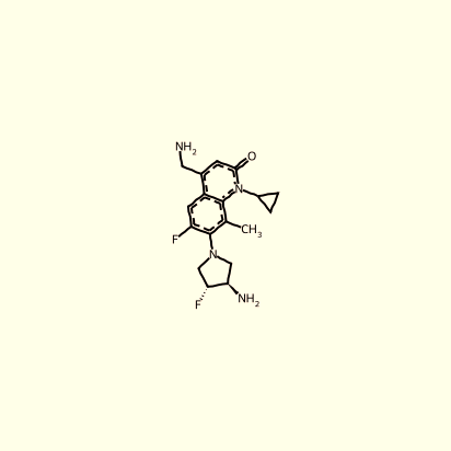 Cc1c(N2C[C@@H](N)[C@H](F)C2)c(F)cc2c(CN)cc(=O)n(C3CC3)c12